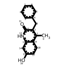 Cc1c(Cc2ccccc2)c(=O)[nH]c2cc(O)ccc12